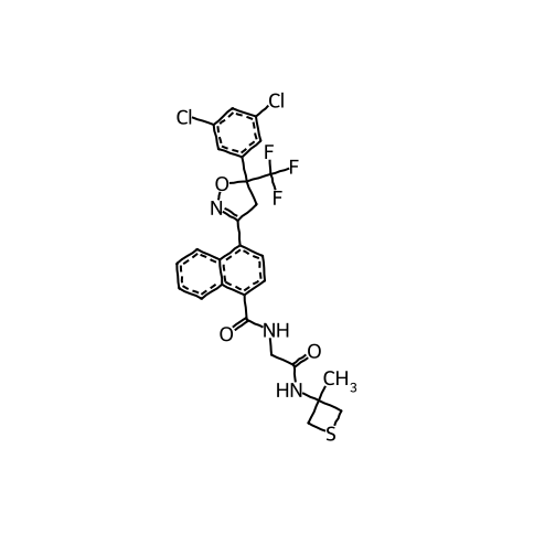 CC1(NC(=O)CNC(=O)c2ccc(C3=NOC(c4cc(Cl)cc(Cl)c4)(C(F)(F)F)C3)c3ccccc23)CSC1